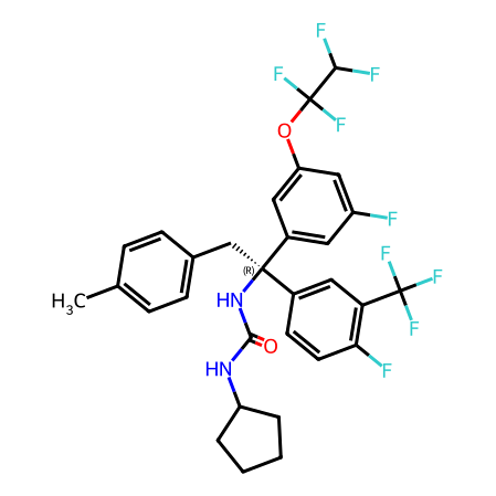 Cc1ccc(C[C@](NC(=O)NC2CCCC2)(c2cc(F)cc(OC(F)(F)C(F)F)c2)c2ccc(F)c(C(F)(F)F)c2)cc1